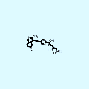 CCN(CC)CC(O)CNC(O)c1ncc(C#Cc2c(N)ncc3ccc(Cl)cc23)cn1